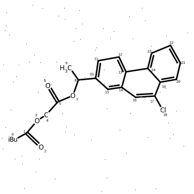 CCC(C)C(=O)OCC(=O)OC(C)c1ccc2c(c1)cc(Cl)c1ccccc12